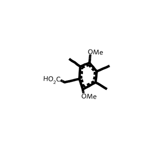 COc1c(C)c(C)c(OC)c(CC(=O)O)c1C